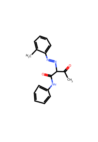 CC(=O)C(/N=N/c1ccccc1C)C(=O)Nc1ccccc1